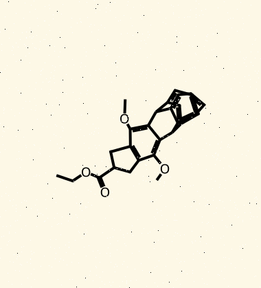 CCOC(=O)C1Cc2c(c(OC)c3c(c2OC)C2c4cccc(c4)C3c3ccccc32)C1